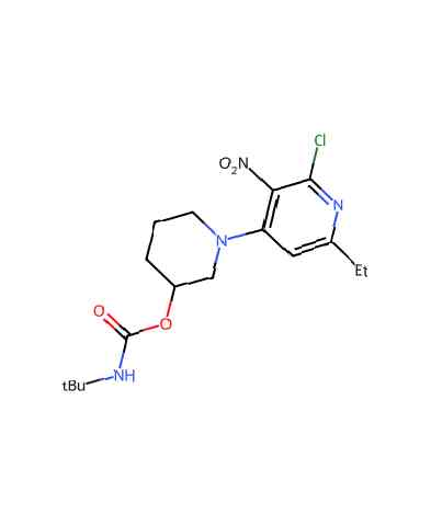 CCc1cc(N2CCCC(OC(=O)NC(C)(C)C)C2)c([N+](=O)[O-])c(Cl)n1